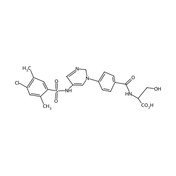 Cc1cc(S(=O)(=O)NC2=CN(c3ccc(C(=O)NC(CO)C(=O)O)cc3)CN=C2)c(C)cc1Cl